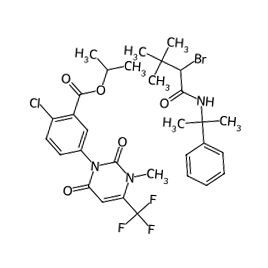 CC(C)(NC(=O)C(Br)C(C)(C)C)c1ccccc1.CC(C)OC(=O)c1cc(-n2c(=O)cc(C(F)(F)F)n(C)c2=O)ccc1Cl